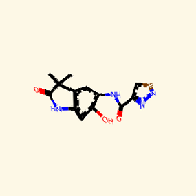 CC1(C)C(=O)Nc2cc(O)c(NC(=O)c3csnn3)cc21